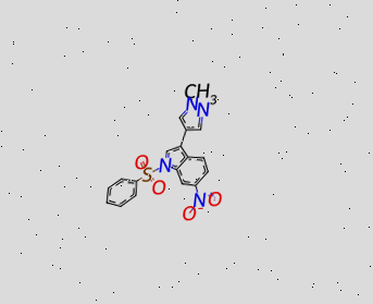 Cn1cc(-c2cn(S(=O)(=O)c3ccccc3)c3cc([N+](=O)[O-])ccc23)cn1